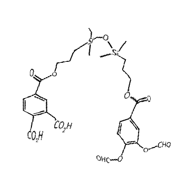 C[Si](C)(CCCOC(=O)c1ccc(OC=O)c(OC=O)c1)O[Si](C)(C)CCCOC(=O)c1ccc(C(=O)O)c(C(=O)O)c1